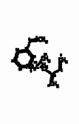 C=CC(=C)C.C=Cc1ccccc1.CC(=O)O